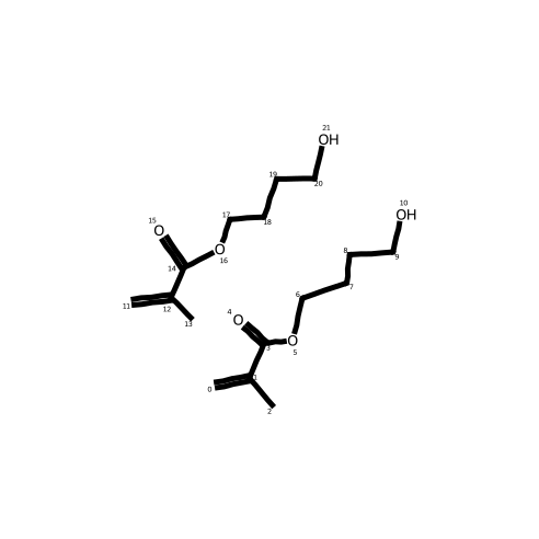 C=C(C)C(=O)OCCCCO.C=C(C)C(=O)OCCCCO